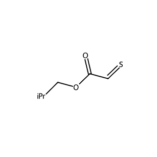 CC(C)COC(=O)C=S